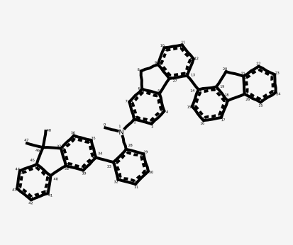 CN(c1ccc2c(c1)Cc1cccc(-c3cccc4c3Cc3ccccc3-4)c1-2)c1ccccc1-c1ccc2c(c1)-c1ccccc1C2(C)C